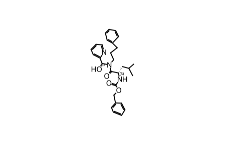 CC(C)C[C@H](NC(=O)OCc1ccccc1)C(=O)N(CCCc1ccccc1)[C@@H](O)c1ccccn1